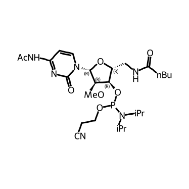 CCCCC(=O)NC[C@H]1O[C@@H](n2ccc(NC(C)=O)nc2=O)[C@H](OC)[C@@H]1OP(OCCC#N)N(C(C)C)C(C)C